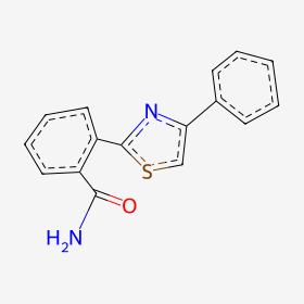 NC(=O)c1ccccc1-c1nc(-c2ccccc2)cs1